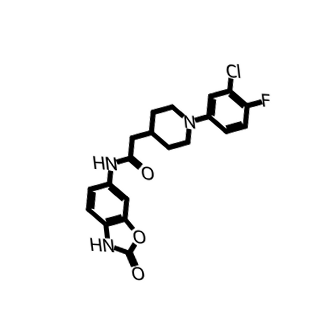 O=C(CC1CCN(c2ccc(F)c(Cl)c2)CC1)Nc1ccc2[nH]c(=O)oc2c1